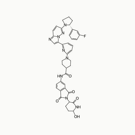 O=C(Nc1ccc2c(c1)C(=O)N(C1CCC(O)NC1=O)C2=O)C1CCN(c2cccc(-c3cnc4ccc(N5CCC[C@@H]5c5cccc(F)c5)nn34)n2)CC1